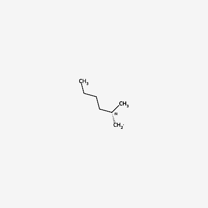 [CH2][C@@H](C)CCCC